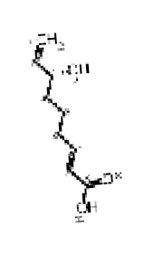 C=C[C@H](O)CCC/C=C/C(=O)O